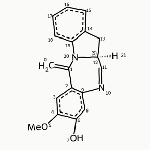 C=C1c2cc(OC)c(O)cc2N=C[C@@H]2Cc3ccccc3N12